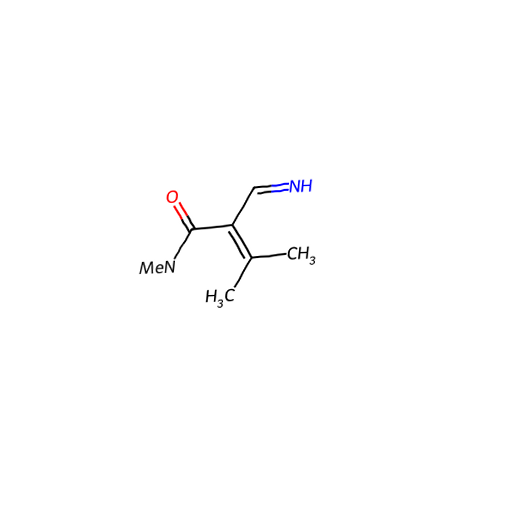 CNC(=O)C(C=N)=C(C)C